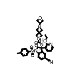 CCOc1ncccc1[C@]1(NC(=O)N2CC3(C2)CN(C2COC2)C3)C(=O)N(S(=O)(=O)c2ccc(C)cc2)c2ccc(C#N)cc21